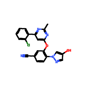 Cc1nc(Oc2cc(C#N)ccc2-n2cc(O)cn2)cc(-c2ccccc2Cl)n1